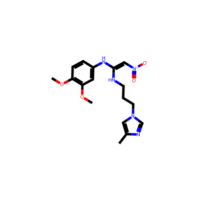 COc1ccc(NC(=C[N+](=O)[O-])NCCCn2cnc(C)c2)cc1OC